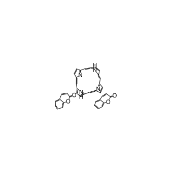 C1=Cc2cc3ccc(cc4nc(cc5ccc(cc1n2)[nH]5)C=C4)[nH]3.O=c1ccc2ccccc2o1.O=c1ccc2ccccc2o1